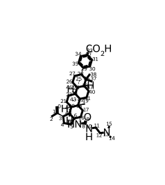 C=C(C)[C@@H]1CC[C@]2(NC(=O)NCCN(C)C)CC[C@]3(C)[C@H](CC[C@@H]4[C@@]5(C)CC[C@H](c6ccc(C(=O)O)cc6)C(C)(C)[C@@H]5CC[C@]43C)[C@@H]12